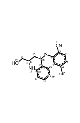 N#Cc1ccc(Br)cc1S[C@H](C[C@H](N)CO)c1cccnc1